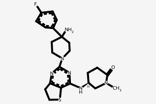 CN1C[C@@H](Nc2nc(N3CCC(N)(c4ccc(F)cc4)CC3)nc3c2SCC3)CCC1=O